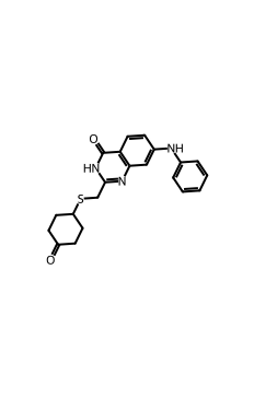 O=C1CCC(SCc2nc3cc(Nc4ccccc4)ccc3c(=O)[nH]2)CC1